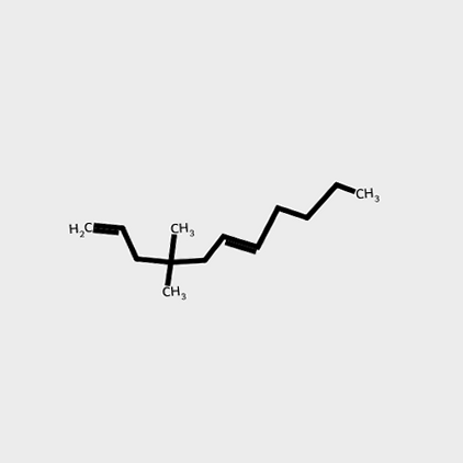 C=CCC(C)(C)CC=CCCCC